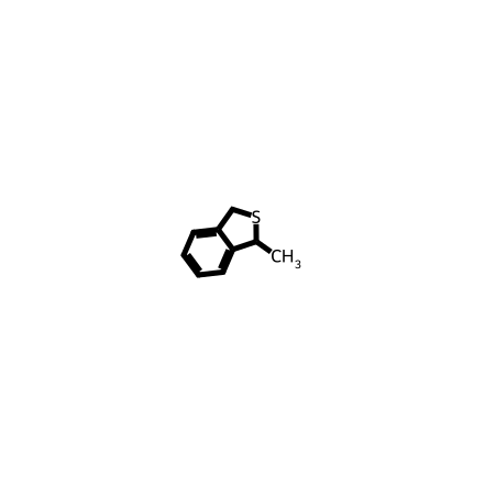 CC1SCc2ccccc21